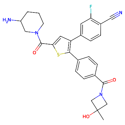 CC1(O)CN(C(=O)c2ccc(-c3sc(C(=O)N4CCCC(N)C4)cc3-c3ccc(C#N)c(F)c3)cc2)C1